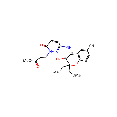 COCC1(COC)Oc2ccc(C#N)cc2[C@@H](Nc2ccc(=O)n(CCC(=O)OC)n2)[C@@H]1O